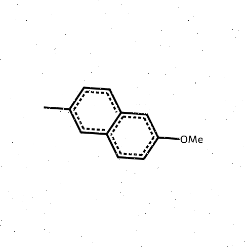 COc1ccc2cc(C)ccc2c1